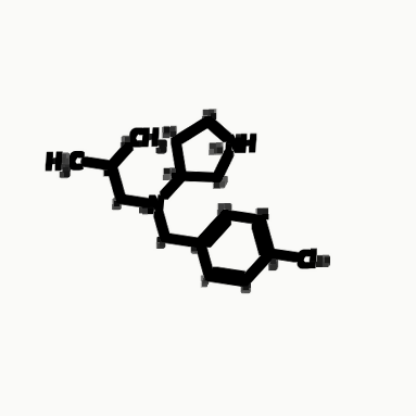 CC(C)CN(Cc1ccc(Cl)cc1)C1CCNC1